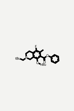 CCCCOc1c2c(c(F)c(C)c1C(=O)Oc1ccccc1)CCN(CC(C)(C)C)C2